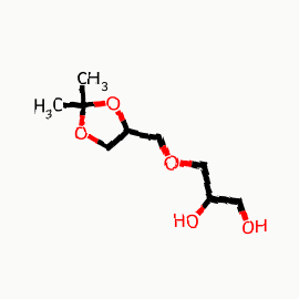 CC1(C)OCC(COCC(O)CO)O1